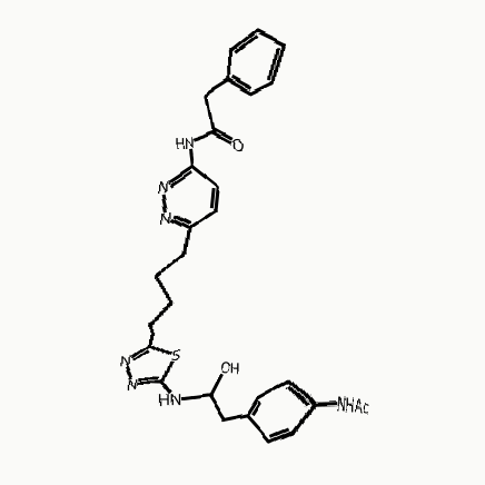 CC(=O)Nc1ccc(CC(O)Nc2nnc(CCCCc3ccc(NC(=O)Cc4ccccc4)nn3)s2)cc1